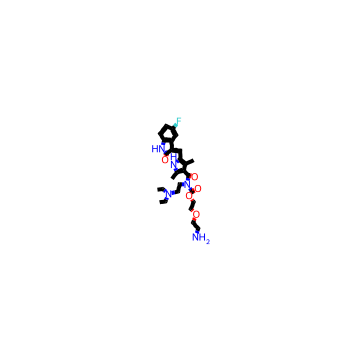 CCN(CC)CCN(C(=O)OCCOCCN)C(=O)c1c(C)[nH]c(C=C2C(=O)Nc3ccc(F)cc32)c1C